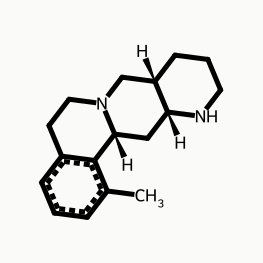 Cc1cccc2c1[C@H]1C[C@H]3NCCC[C@H]3CN1CC2